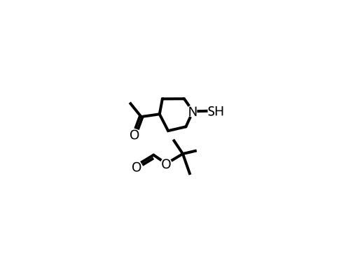 CC(=O)C1CCN(S)CC1.CC(C)(C)OC=O